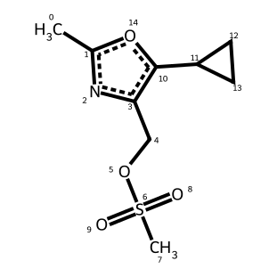 Cc1nc(COS(C)(=O)=O)c(C2CC2)o1